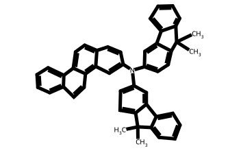 CC1(C)c2ccccc2-c2cc(N(c3ccc4c(c3)-c3ccccc3C4(C)C)c3ccc4ccc5c6ccccc6ccc5c4c3)ccc21